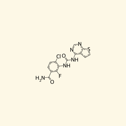 NC(=O)c1ccc(Cl)c(NC(=O)Nc2ncnc3sccc23)c1F